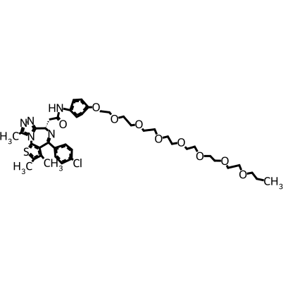 CCCOCCOCCOCCOCCOCCOCCOCCOc1ccc(NC(=O)C[C@@H]2N=C(c3ccc(Cl)cc3)c3c(sc(C)c3C)-n3c(C)nnc32)cc1